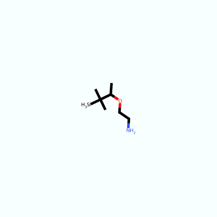 CC(OCCN)C(C)(C)[SiH3]